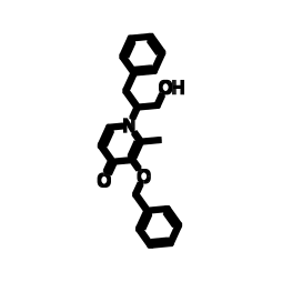 Cc1c(OCc2ccccc2)c(=O)ccn1C(CO)Cc1ccccc1